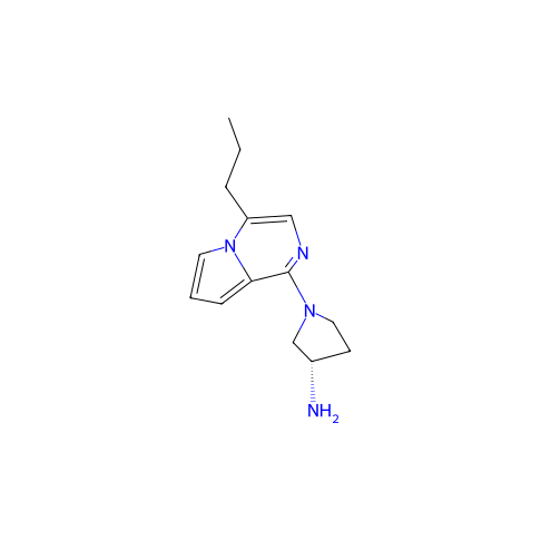 CCCc1cnc(N2CC[C@H](N)C2)c2cccn12